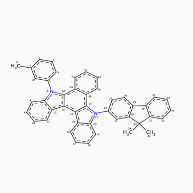 Cc1cccc(-n2c3ccccc3c3c4c5ccccc5n(-c5ccc6c(c5)C(C)(C)c5ccccc5-6)c4c4ccccc4c32)c1